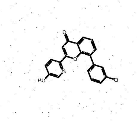 O=c1cc(-c2ccc(O)cn2)oc2c(-c3cccc(Cl)c3)cccc12